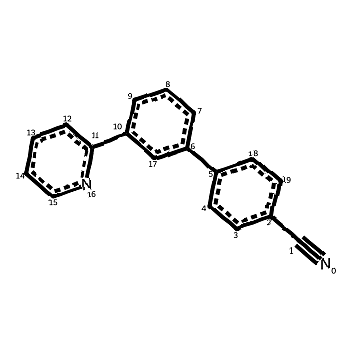 N#Cc1ccc(-c2cccc(-c3ccccn3)c2)cc1